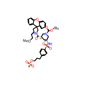 COCCCCC1(CNC(=O)[C@H]2C[C@@H](NS(=O)(=O)c3ccc(CCCOS(C)(=O)=O)cc3)CN(C(=O)OC(C)(C)C)C2)c2ccccc2Oc2ccccc21